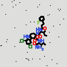 CCC(C)[C@H](NC(=O)CCc1ccccc1F)C(=O)N[C@@]1(OC(=O)NC(C(N)=O)[C@@H](C)CC)CCc2[nH]c3c(Cl)cc(Cl)cc3c2C1